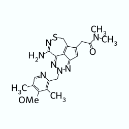 COc1c(C)cnc(Cn2nc3cc(CC(=O)N(C)C)c4c-3c(n2)C(N)=NSC4)c1C